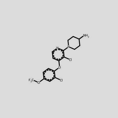 NC1CCN(c2nccc(Oc3ccc(OC(F)(F)F)cc3Cl)c2Cl)CC1